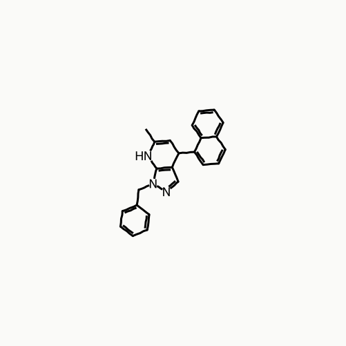 CC1=CC(c2cccc3ccccc23)c2cnn(Cc3ccccc3)c2N1